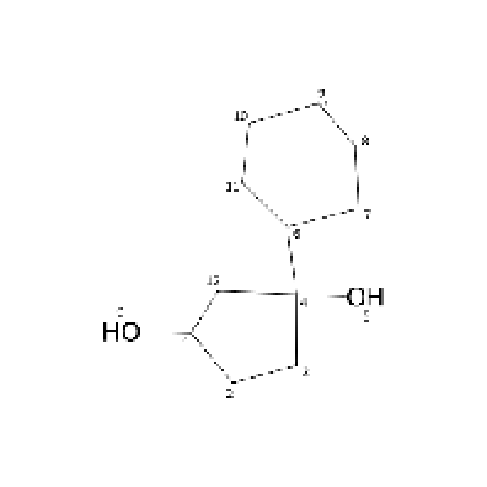 OC1CCC(O)(C2CC[CH]CC2)C1